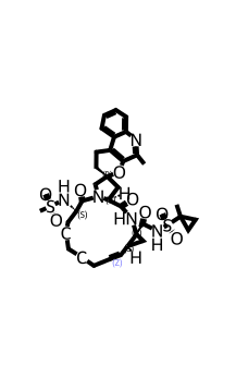 Cc1nc2ccccc2c2c1O[C@]1(CC2)C[C@H]2C(=O)N[C@]3(C(=O)NS(=O)(=O)C4(C)CC4)C[C@H]3/C=C\CCCCC[C@H](NS(C)(=O)=O)C(=O)N2C1